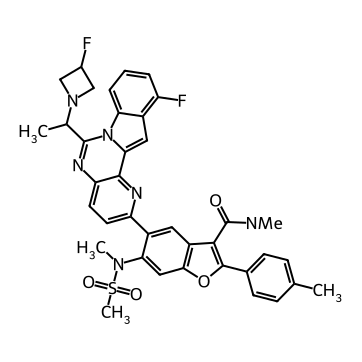 CNC(=O)c1c(-c2ccc(C)cc2)oc2cc(N(C)S(C)(=O)=O)c(-c3ccc4nc(C(C)N5CC(F)C5)n5c6cccc(F)c6cc5c4n3)cc12